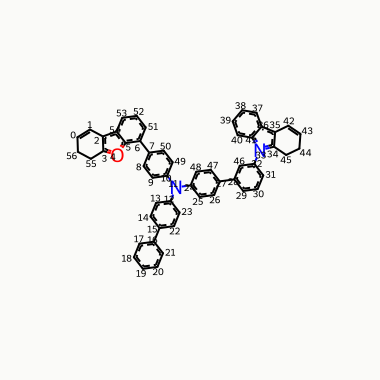 C1=Cc2c(oc3c(-c4ccc(N(c5ccc(-c6ccccc6)cc5)c5ccc(-c6cccc(-n7c8c(c9ccccc97)C=CCC8)c6)cc5)cc4)cccc23)CC1